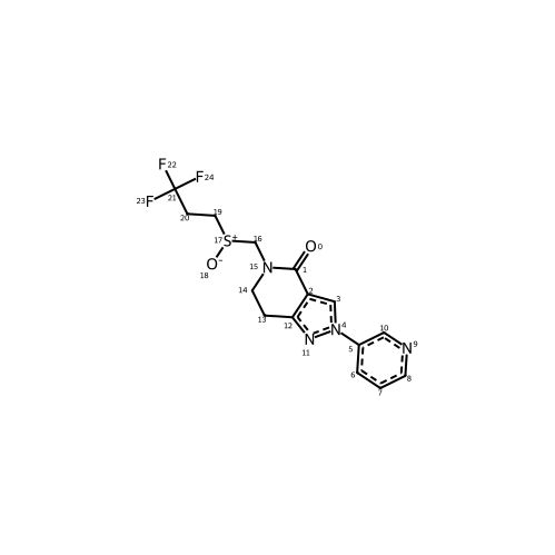 O=C1c2cn(-c3cccnc3)nc2CCN1C[S+]([O-])CCC(F)(F)F